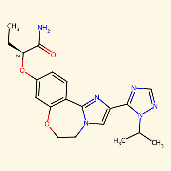 CC[C@H](Oc1ccc2c(c1)OCCn1cc(-c3ncnn3C(C)C)nc1-2)C(N)=O